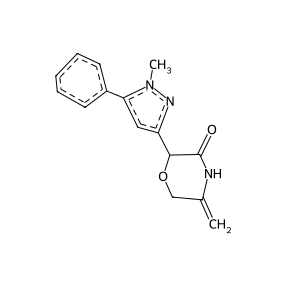 C=C1COC(c2cc(-c3ccccc3)n(C)n2)C(=O)N1